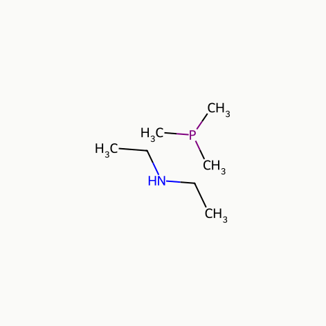 CCNCC.CP(C)C